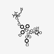 COc1ccc(C(OC[C@H]2O[C@@H](n3cc(C)c(=O)[nH]c3=O)CC2OC(=O)Oc2ccc(Cl)cc2)(c2ccccc2)c2ccc(OCCCOP(OCCC#N)N(C(C)C)C(C)C)cc2)cc1